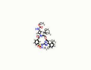 COC(=O)N[C@H]1C[C@@H](N2C(=O)c3cccc(c3)S(=O)(=O)Nc3nc(cc(-c4c(C)cccc4C)n3)OC[C@H]2CC(C)C)C1